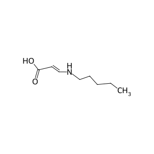 CCCCCN/C=C/C(=O)O